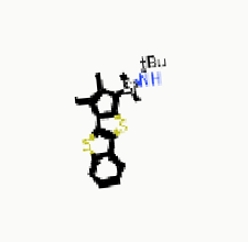 CC1=C(C)C([Si](C)(C)NC(C)(C)C)c2sc3c(sc4ccccc43)c21